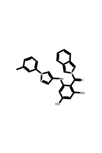 Cc1cccc(-n2cc(Nc3cc(O)cc(O)c3C(=O)n3cc4ccccc4c3)cn2)c1